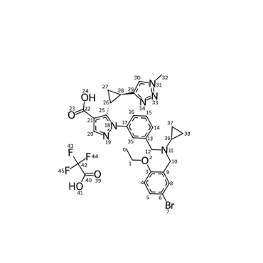 CCOc1ccc(Br)cc1CN(Cc1cccc(-n2ncc(C(=O)O)c2[C@@H]2C[C@H]2c2cn(C)nn2)c1)C1CC1.O=C(O)C(F)(F)F